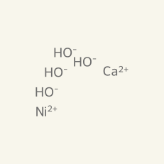 [Ca+2].[Ni+2].[OH-].[OH-].[OH-].[OH-]